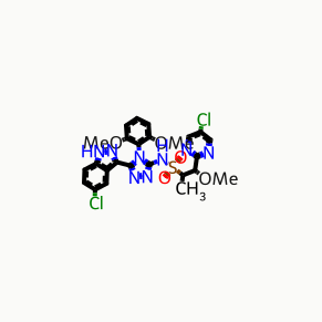 COc1cccc(OC)c1-n1c(NS(=O)(=O)C(C)C(OC)c2ncc(Cl)cn2)nnc1-c1n[nH]c2ccc(Cl)cc12